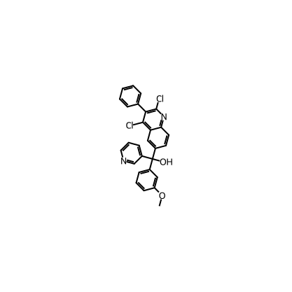 COc1cccc(C(O)(c2cccnc2)c2ccc3nc(Cl)c(-c4ccccc4)c(Cl)c3c2)c1